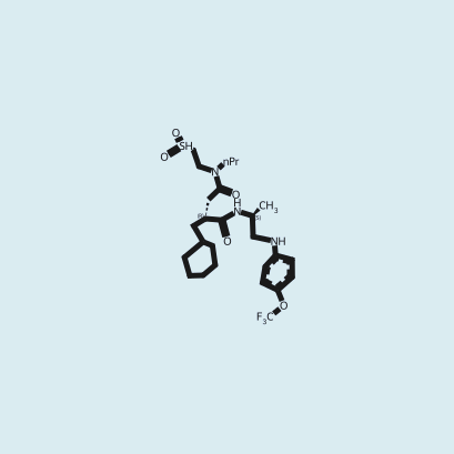 CCCN(CC[SH](=O)=O)C(=O)C[C@@H](CC1CCCCC1)C(=O)N[C@@H](C)CNc1ccc(OC(F)(F)F)cc1